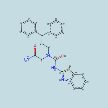 NC(=O)CN(CCC(c1ccccc1)c1ccccc1)C(=O)Nc1nc2ccccc2s1